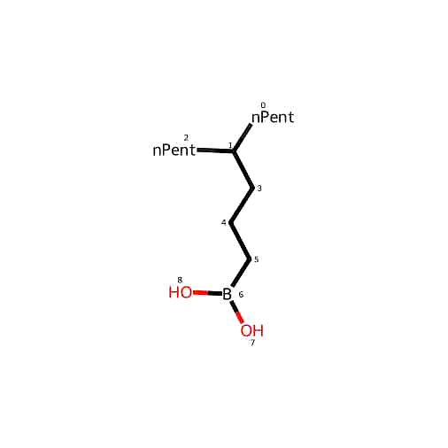 CCCCCC(CCCCC)CCCB(O)O